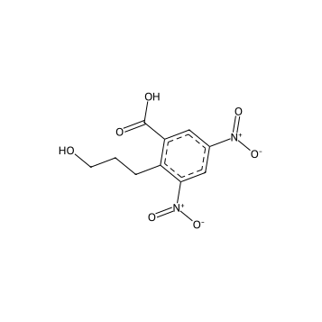 O=C(O)c1cc([N+](=O)[O-])cc([N+](=O)[O-])c1CCCO